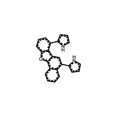 c1c[nH]c(-c2cc3c(oc4cccc(-c5ccc[nH]5)c43)c3ccccc23)c1